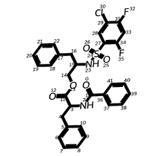 O=C(NC(Cc1ccccc1)C(=O)OCC(Cc1ccccc1)NS(=O)(=O)c1cc(Cl)c(F)cc1F)c1ccccc1